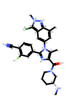 CN[C@@H]1CCCN(C(=O)c2nc(-c3ccc(C#N)c(F)c3)n(-c3cc(C)c4nn(C)c(Cl)c4c3)c2C)C1